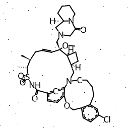 CO[C@@]1(CN2CC(=O)N3CCCC[C@@H]3C2)/C=C/C[C@H](C)[C@@H](C)S(=O)(=O)NC(=O)c2ccc3c(c2)N(CCCCc2cc(Cl)ccc2CO3)C[C@@H]2CC[C@H]21